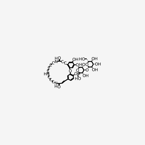 O=C1/C=C/c2ccc(O)c(c2)Oc2cc(O[C@@H]3O[C@H](CO)[C@@H](O)[C@H](O[C@@H]4O[C@H](CO)[C@@H](O)[C@H](O)[C@H]4O)[C@H]3O)c(O)cc2CCC(=O)NCCCCNCCCN1